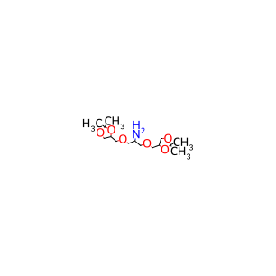 CC1(C)OCC(COCC(N)COCC2COC(C)(C)O2)O1